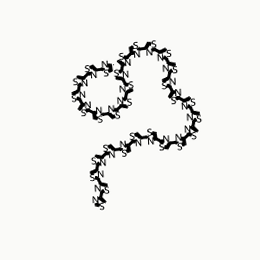 [c]1csc(-c2csc(-c3csc(-c4csc(-c5csc(-c6csc(-c7csc(-c8csc(-c9csc(-c%10csc(-c%11csc(-c%12csc(-c%13csc(-c%14csc(-c%15csc(-c%16csc(-c%17csc(-c%18csc(-c%19csc(-c%20csc(-c%21csc(-c%22csc(-c%23csc(-c%24csc(-c%25csc(-c%26csc(-c%27csc(-c%28csc(-c%29csc(-c%30cscn%30)n%29)n%28)n%27)n%26)n%25)n%24)n%23)n%22)n%21)n%20)n%19)n%18)n%17)n%16)n%15)n%14)n%13)n%12)n%11)n%10)n9)n8)n7)n6)n5)n4)n3)n2)n1